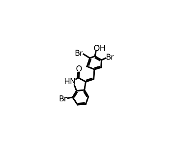 O=C1Nc2c(Br)cccc2C1=Cc1cc(Br)c(O)c(Br)c1